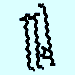 CCCCCCCCCCCCC(CC(O)CO)C(=O)O.CCCCCCCCCCCCCC(=O)O.CCCCCCCCCCCCCC(=O)O